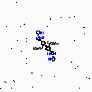 CNCc1cc(-c2cnc([C@@H]3CCCN3)[nH]2)ccc1-c1ccc(-c2cnc([C@@H]3CCCN3)[nH]2)cc1C(=O)OC